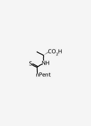 CCCCCC(=S)N[C@H](C)C(=O)O